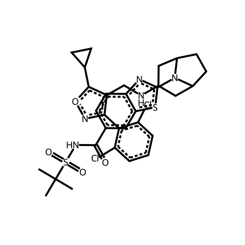 CC(C)(C)S(=O)(=O)NC(=O)c1ccc2nc(N3C4CCC3CC(NCc3c(-c5c(Cl)cccc5Cl)noc3C3CC3)C4)sc2c1